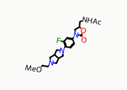 COCCN1CC2CN(c3ccc(N4CC(CNC(C)=O)OC4=O)cc3F)CC2C1